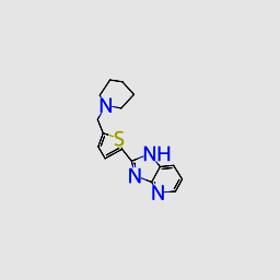 c1cnc2nc(-c3ccc(CN4CCCCC4)s3)[nH]c2c1